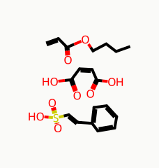 C=CC(=O)OCCCC.O=C(O)/C=C\C(=O)O.O=S(=O)(O)C=Cc1ccccc1